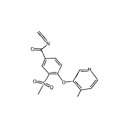 C=NC(=O)c1ccc(Oc2cnccc2C)c(S(C)(=O)=O)c1